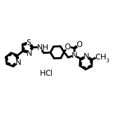 Cc1cccc(N2CC3(CCC(CNc4nc(-c5ccccn5)cs4)CC3)OC2=O)n1.Cl